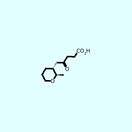 C[C@H]1OCCC[C@@H]1CC(=O)CCC(=O)O